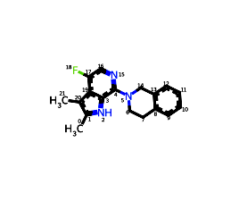 Cc1[nH]c2c(N3CCc4ccccc4C3)ncc(F)c2c1C